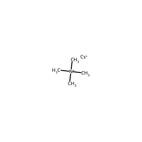 C[N+](C)(C)C.[Cs+]